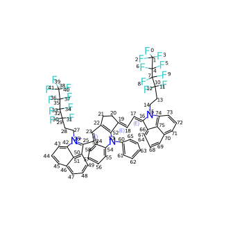 FC(F)(F)C(F)(F)C(F)(F)C(F)(F)CCn1/c(=C/C=C2\CCC(/C=C/C3=[N+](CCC(F)(F)C(F)(F)C(F)(F)C(F)(F)F)c4cccc5cccc3c45)=C2N(c2ccccc2)c2ccccc2)c2cccc3cccc1c32